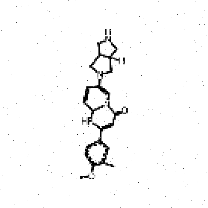 COc1ccc(C2=CC(=O)N3C=C(N4CC5CNC[C@@H]5C4)C=CC3P2)cc1C